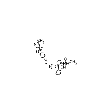 C=CC(=O)N[C@@H]1CCC[C@H]1[C@](C#N)(c1ccccc1)C1CCN(CC2CN(c3ccc(S(=O)(=O)c4cnn(C)c4)cc3)C2)CC1